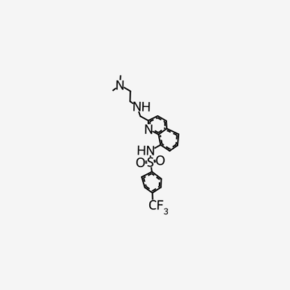 CN(C)CCNCc1ccc2cccc(NS(=O)(=O)c3ccc(C(F)(F)F)cc3)c2n1